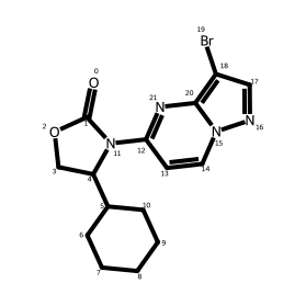 O=C1OCC(C2CCCCC2)N1c1ccn2ncc(Br)c2n1